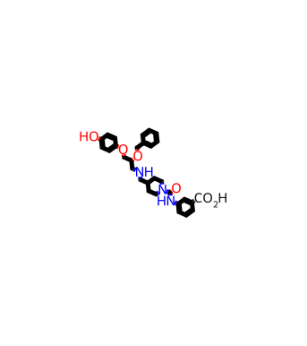 O=C(O)c1cccc(NC(=O)N2CCC(CNCC(COc3ccc(O)cc3)OCc3ccccc3)CC2)c1